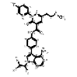 COCCc1cc(C(=O)Nc2ccc(-c3cn(C(F)C(F)F)c4ncnc(N)c34)cc2)c(=O)n(-c2ccc(F)cn2)n1